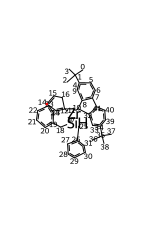 CC(C)(C)c1ccc2c(c1)[CH]([Zr]([C]1=CC=CC1)[SiH](Cc1ccccc1)Cc1ccccc1)c1cc(C(C)(C)C)ccc1-2